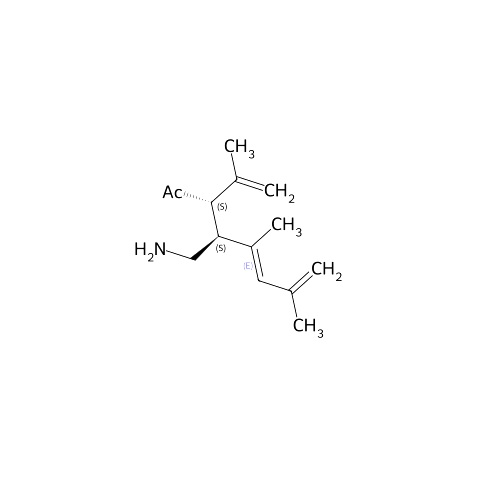 C=C(C)/C=C(\C)[C@@H](CN)[C@@H](C(=C)C)C(C)=O